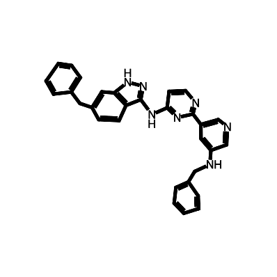 c1ccc(CNc2cncc(-c3nccc(Nc4n[nH]c5cc(Cc6ccccc6)ccc45)n3)c2)cc1